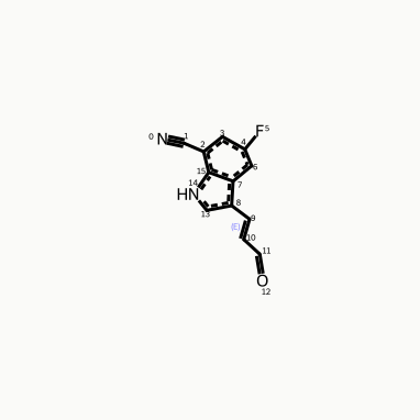 N#Cc1cc(F)cc2c(/C=C/C=O)c[nH]c12